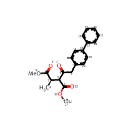 COC(=O)[C@H](C)C(C(=O)Cc1ccc(-c2ccccc2)cc1)C(=O)OC(C)(C)C